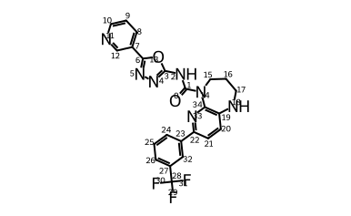 O=C(Nc1nnc(-c2cccnc2)o1)N1CCCNc2ccc(-c3cccc(C(F)(F)F)c3)nc21